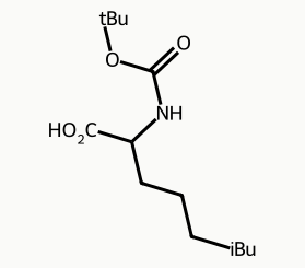 CCC(C)CCCC(NC(=O)OC(C)(C)C)C(=O)O